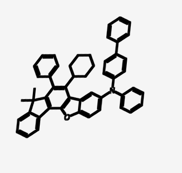 CC1(C)c2ccccc2-c2c1c(-c1ccccc1)c(C1CCCCC1)c1c2oc2ccc(N(c3ccccc3)c3ccc(-c4ccccc4)cc3)cc21